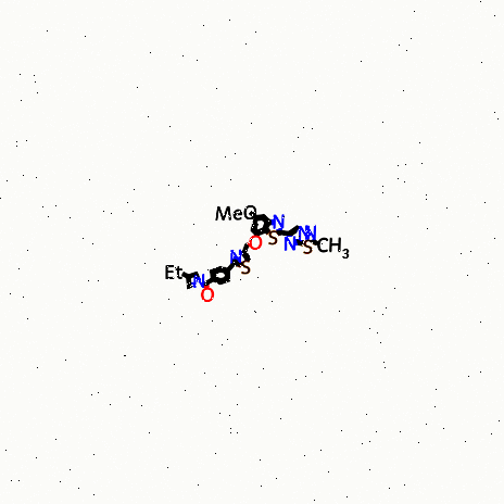 CCC1CN(C(=O)c2ccc(-c3nc(COc4cc(OC)cc5nc(-c6cn7nc(C)sc7n6)sc45)cs3)cc2)C1